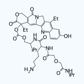 CCc1c2c(nc3ccc(O)cc13)-c1cc3c(c(=O)n1C2)COC(=O)C3(CC)OC(=O)OCC(NC(=O)C(CCCCN)NC(=O)COCC(=O)NC(C)C)C(C)C